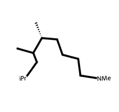 CNCCCC[C@@H](C)C(C)CC(C)C